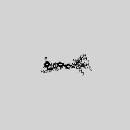 Cc1ccc(-c2ccn3nc(N(C(=O)OC(C)(C)C)C(=O)OC(C)(C)C)nc3c2)c(F)c1C(=O)NCC(F)(F)C(O)c1ccc(F)cc1